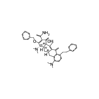 C=C(N)C1=C(OCc2ccccc2)[C@@H](N(C)C)[C@@H]2C[C@@H]3Cc4c(N(C)C)ccc(CCc5ccccc5)c4C(=C)C3=C(C)[C@]2(O)C1=C